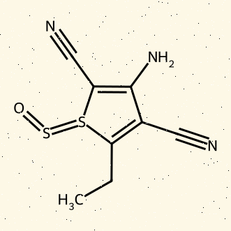 CCC1=C(C#N)C(N)=C(C#N)S1=S=O